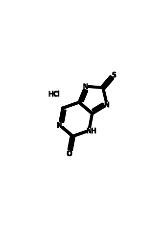 Cl.O=c1ncc2c([nH]1)=NC(=S)N=2